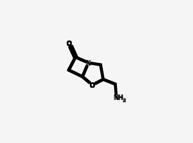 NCC1CN2C(=O)CC2O1